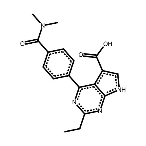 CCc1nc(-c2ccc(C(=O)N(C)C)cc2)c2c(C(=O)O)c[nH]c2n1